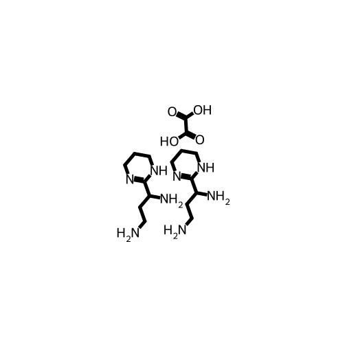 NCCC(N)C1=NCCCN1.NCCC(N)C1=NCCCN1.O=C(O)C(=O)O